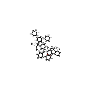 CC1(C)c2ccccc2-c2ccc(N(c3ccc4c(c3)C(C)(C)c3cc(-c5ccccc5)cc(-c5ccccc5)c3-4)c3ccccc3-c3ccccc3)cc21